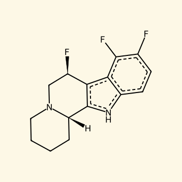 Fc1ccc2[nH]c3c(c2c1F)[C@H](F)CN1CCCC[C@@H]31